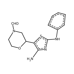 Nc1nc(Nc2ccccc2)sc1C1CN(C=O)CCO1